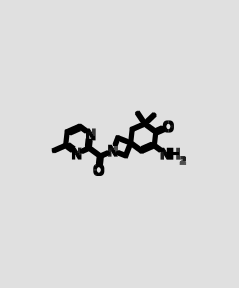 Cc1ccnc(C(=O)N2CC3(C=C(N)C(=O)C(C)(C)C3)C2)n1